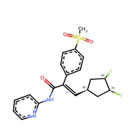 CS(=O)(=O)c1ccc(/C(=C\[C@H]2C[C@@H](F)[C@@H](F)C2)C(=O)Nc2ccccn2)cc1